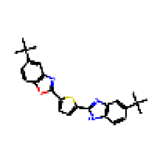 CC(C)(C)c1ccc2[nH]c(-c3ccc(-c4nc5cc(C(C)(C)C)ccc5o4)s3)nc2c1